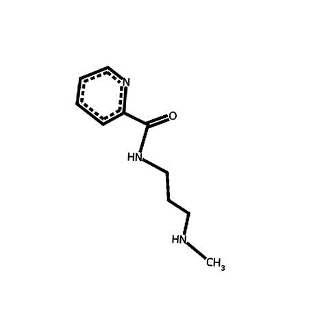 CNCCCNC(=O)c1ccccn1